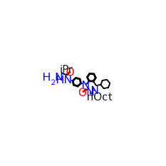 CCCCCCCCN1N=C(C2CCCCC2)c2ccccc2N(c2ccc(NC(=O)[C@@H](N)C(C)C)cc2)C1=O